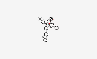 CC(C)(C)c1ccc2c(c1)c1cc(C(C)(C)C)ccc1n2-c1ccc(-c2ccc3c(c2)sc2ccccc23)cc1-c1nc(-c2ccccc2)nc(-c2ccccc2)n1